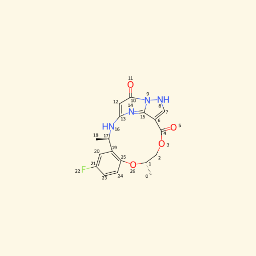 C[C@H]1COC(=O)c2c[nH]n3c(=O)cc(nc23)N[C@H](C)c2cc(F)ccc2O1